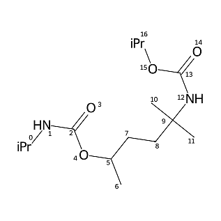 CC(C)NC(=O)OC(C)CCC(C)(C)NC(=O)OC(C)C